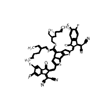 CCCCC(CC)CSC(SCC(CC)CCCC)=C1c2cc(/C=C3\C(=O)c4cc(F)c(F)cc4C3=C(C#N)C#N)sc2C2SC(/C=C3\C(=O)c4cc(F)c(F)cc4C3=C(C#N)C#N)=CC12